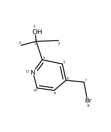 CC(C)(O)c1cc(CBr)ccn1